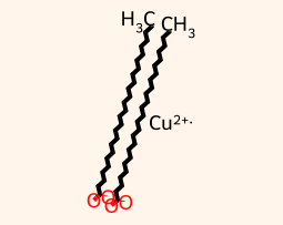 CCCCCCCCCCCCCCCCCCCCCCCCCC(=O)[O-].CCCCCCCCCCCCCCCCCCCCCCCCCC(=O)[O-].[Cu+2]